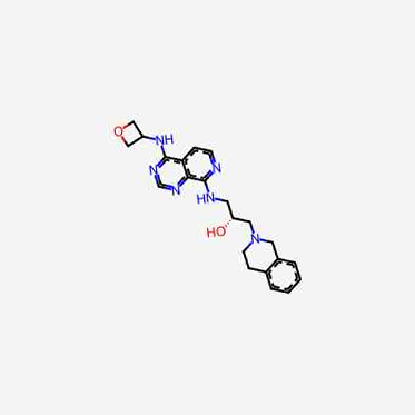 O[C@H](CNc1nccc2c(NC3COC3)ncnc12)CN1CCc2ccccc2C1